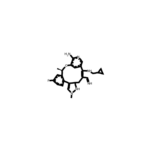 C[C@H]1Oc2cc(cnc2N)/C(NCC2CC2)=C(/C=N)CC2NN(C)C=C2c2ccc(F)cc21